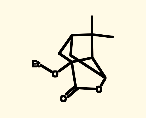 CCOC12CC3CC(OC1=O)C2C3(C)C